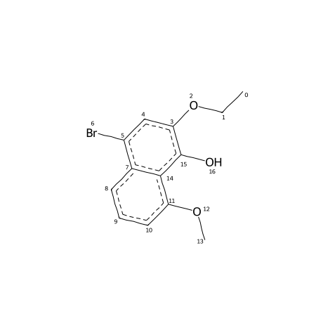 CCOc1cc(Br)c2cccc(OC)c2c1O